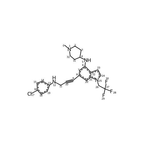 CN1CCC(Nc2cc(C#CCNc3ccc(Cl)cc3)cc3c2ccn3CC(F)(F)F)CC1